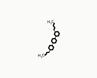 CCCCC[C@H]1CCC[C@@H](C2CCC([C@H]3CC[C@H](CCCC)CC3)CC2)C1